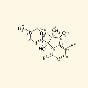 CN1CC=C([C@]2(O)c3c(Br)ccc(F)c3[C@H](O)C2(C)C)CC1